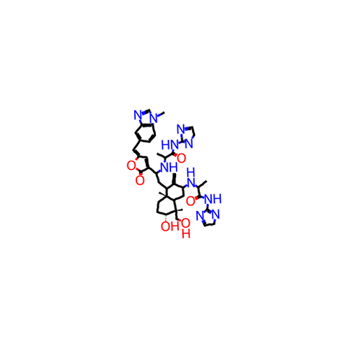 C=C1C(NC(C)C(=O)NC2=NCC=N2)CC2[C@](C)(CC[C@@H](O)[C@@]2(C)CO)C1CC(NC(C)C(=O)NC1=NCC=N1)C1=C/C(=C\c2ccc3c(c2)ncn3C)OC1=O